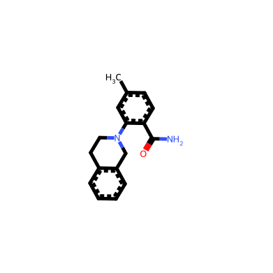 Cc1ccc(C(N)=O)c(N2CCc3ccccc3C2)c1